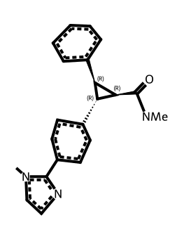 CNC(=O)[C@@H]1[C@H](c2ccccc2)[C@H]1c1ccc(-c2nccn2C)cc1